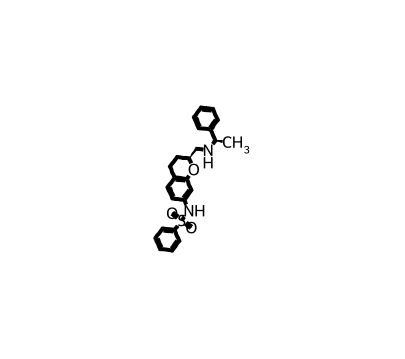 C[C@@H](NC[C@@H]1CCc2ccc(NS(=O)(=O)c3ccccc3)cc2O1)c1ccccc1